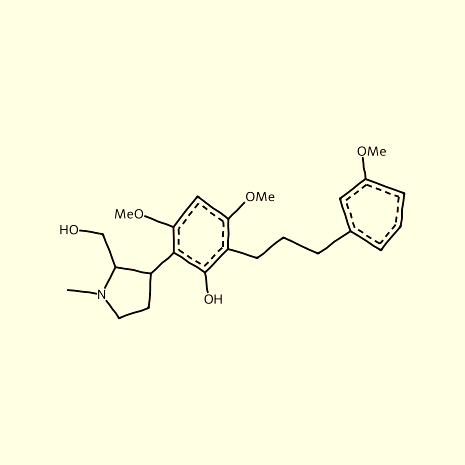 COc1cccc(CCCc2c(OC)cc(OC)c(C3CCN(C)C3CO)c2O)c1